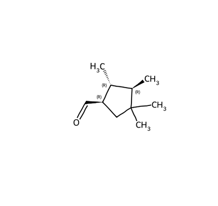 C[C@H]1[C@H](C=O)CC(C)(C)[C@@H]1C